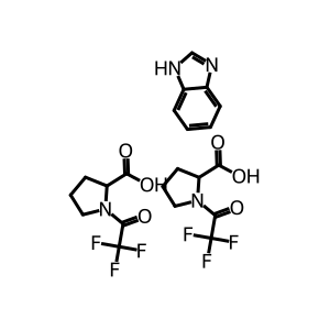 O=C(O)C1CCCN1C(=O)C(F)(F)F.O=C(O)C1CCCN1C(=O)C(F)(F)F.c1ccc2[nH]cnc2c1